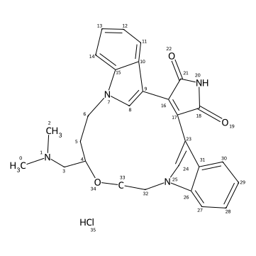 CN(C)CC1CCn2cc(c3ccccc32)C2=C(C(=O)NC2=O)c2cn(c3ccccc23)CCO1.Cl